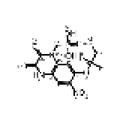 O=c1[nH]c2cc([N+](=O)[O-])c(OC(F)(F)CF)cc2n(CP(=O)(O)O)c1=O